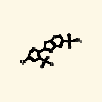 CCS(=O)(=O)c1cc(C(F)(F)F)cnc1-c1nc2cc(S(C)(=O)=O)cnc2o1